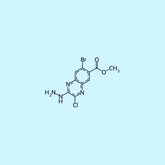 COC(=O)c1cc2nc(Cl)c(NN)nc2cc1Br